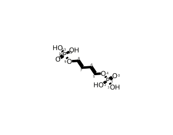 O=P(O)(O)O/C=C/C=C/OP(=O)(O)O